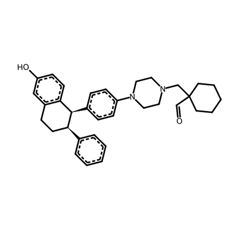 O=CC1(CN2CCN(c3ccc([C@@H]4c5ccc(O)cc5CC[C@@H]4c4ccccc4)cc3)CC2)CCCCC1